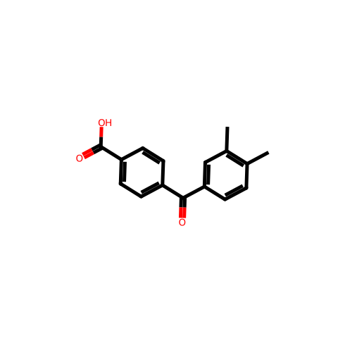 Cc1ccc(C(=O)c2ccc(C(=O)O)cc2)cc1C